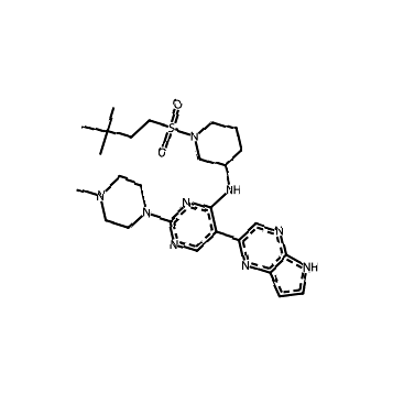 CN1CCN(c2ncc(-c3cnc4[nH]ccc4n3)c(NC3CCCN(S(=O)(=O)CCC(C)(C)C)C3)n2)CC1